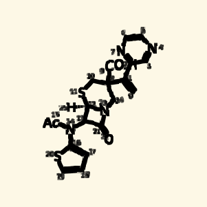 C=C(c1cnccn1)C1(C(=O)O)CS[C@@H]2C(N(C(C)=O)c3cccs3)C(=O)N2C1